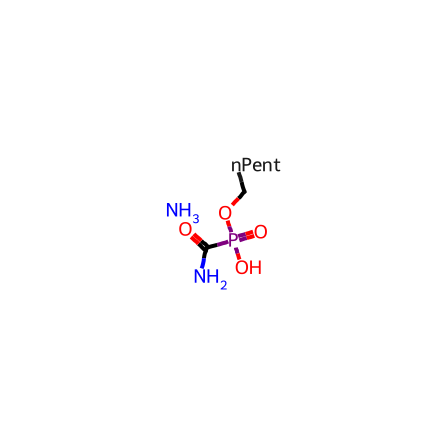 CCCCCCOP(=O)(O)C(N)=O.N